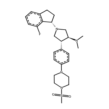 CN(C)[C@@H]1CN([C@H]2CCc3cccc(F)c32)C[C@H]1c1ccc(N2CCN(S(C)(=O)=O)CC2)cc1